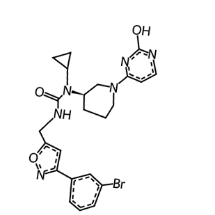 O=C(NCc1cc(-c2cccc(Br)c2)no1)N(C1CC1)[C@@H]1CCCN(c2ccnc(O)n2)C1